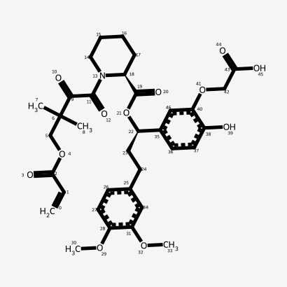 C=CC(=O)OCC(C)(C)C(=O)C(=O)N1CCCC[C@H]1C(=O)O[C@H](CCc1ccc(OC)c(OC)c1)c1ccc(O)c(OCC(=O)O)c1